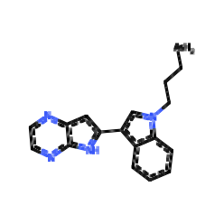 [AsH2]CCCn1cc(-c2cc3nccnc3[nH]2)c2ccccc21